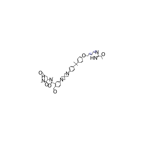 CNC(=O)C(CCC=O)N(C)C(=O)c1cc(N2CC3(CN(c4ccc(C(C)(C)c5ccc(OC/C=C/C=N\C(=N)C(C)=O)cc5)cc4)C3)C2)ccc1C=O